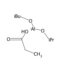 CCC(=O)O.CCC(C)[O][Al][O]C(C)C